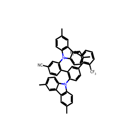 Cc1ccc2c(c1)c1cc(C)ccc1n2-c1ccc(-c2c(C(F)(F)F)cccc2C(F)(F)F)cc1-c1ccc(C#N)cc1-n1c2ccc(C)cc2c2cc(C)ccc21